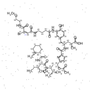 CC[C@H](C)[C@H](NC(=O)[C@H]1CCCCN1C)C(=O)N(C)C(C[C@@H](OC(C)=O)c1nc(C(=O)N[C@@H](Cc2ccc(O)c(NC(=O)CCCNC(=O)/C=C(/Br)C(=O)NCCOC)c2)CC(C)C(=O)O)cs1)C(C)C